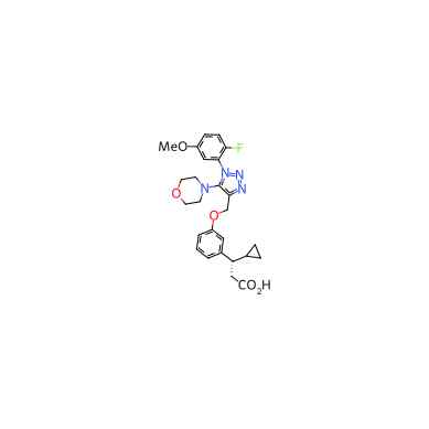 COc1ccc(F)c(-n2nnc(COc3cccc([C@@H](CC(=O)O)C4CC4)c3)c2N2CCOCC2)c1